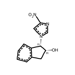 O=[N+]([O-])c1cn([C@H]2c3ccccc3C[C@H]2O)cn1